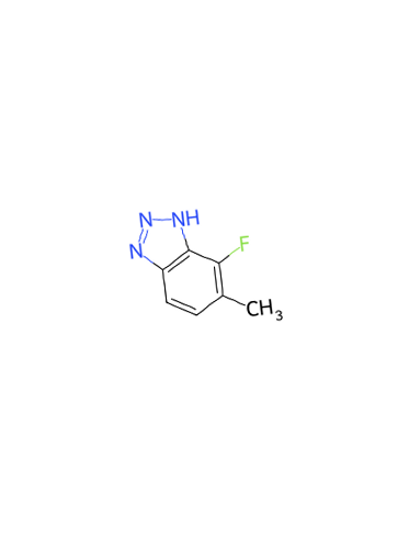 Cc1ccc2nn[nH]c2c1F